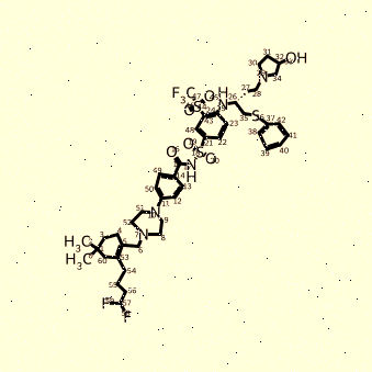 CC1(C)CCC(CN2CCN(c3ccc(C(=O)NS(=O)(=O)c4ccc(N[C@H](CCN5CCC(O)C5)CSc5ccccc5)c(S(=O)(=O)C(F)(F)F)c4)cc3)CC2)=C(CCCC(F)F)C1